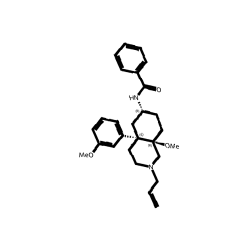 C=CCN1CC[C@@]2(c3cccc(OC)c3)C[C@H](NC(=O)c3ccccc3)CC[C@]2(OC)C1